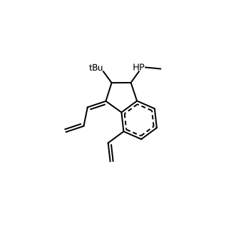 C=C/C=C1\c2c(C=C)cccc2C(PC)C1C(C)(C)C